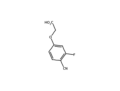 N#Cc1ccc(OCC(=O)O)cc1F